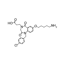 NCCCCCOc1ccc2c(c1)C(=O)N(CCC(=O)O)CC(=O)N2Cc1ccc(Cl)cc1